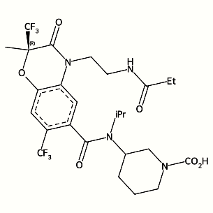 CCC(=O)NCCN1C(=O)[C@](C)(C(F)(F)F)Oc2cc(C(F)(F)F)c(C(=O)N(C(C)C)C3CCCN(C(=O)O)C3)cc21